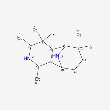 CCC1NC(CC)C(C)(CC)C2C1C1CCC(C)(CC)C2N1